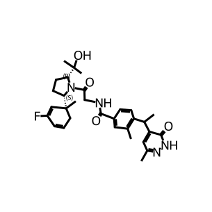 Cc1cc(C(C)c2ccc(C(=O)NCC(=O)N3[C@H](C4(C)C=C(F)C=CC4)CC[C@@H]3C(C)(C)O)cc2C)c(=O)[nH]n1